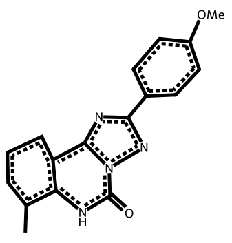 COc1ccc(-c2nc3c4cccc(C)c4[nH]c(=O)n3n2)cc1